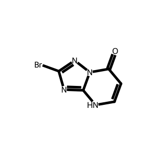 O=c1cc[nH]c2nc(Br)nn12